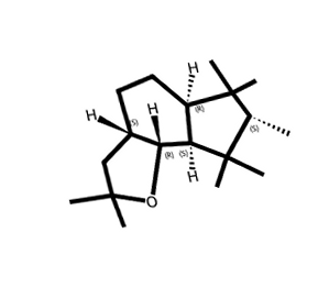 C[C@@H]1C(C)(C)[C@H]2[C@@H]3OC(C)(C)C[C@@H]3CC[C@H]2C1(C)C